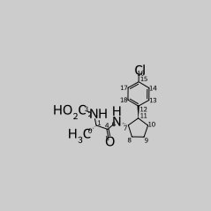 C[C@H](NC(=O)O)C(=O)N[C@H]1CCC[C@@H]1c1ccc(Cl)cc1